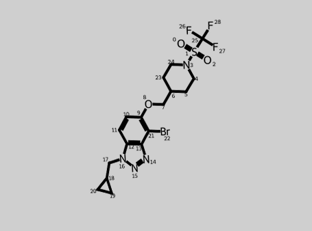 O=S(=O)(N1CCC(COc2ccc3c(nnn3CC3CC3)c2Br)CC1)C(F)(F)F